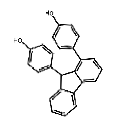 Oc1ccc(-c2cccc3c2C(c2ccc(O)cc2)c2ccccc2-3)cc1